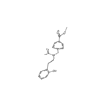 COC(=O)c1ccc(CN(CCc2ccccc2O)C(C)=O)cc1